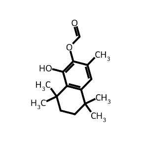 Cc1cc2c(c(O)c1OC=O)C(C)(C)CCC2(C)C